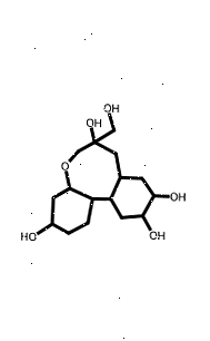 OCC1(O)COC2CC(O)CCC2C2CC(O)C(O)CC2C1